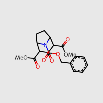 COC(=O)C1C(=O)C(C(=O)OC)C2CCC1N2C(=O)OCc1ccccc1